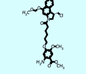 COCOc1cc2c(c3ccccc13)[C@H](CCl)CN2C(=O)CCCCCOc1cc(N)c(C(=O)OC)cc1OC